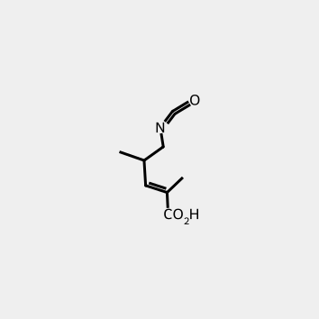 CC(=CC(C)CN=C=O)C(=O)O